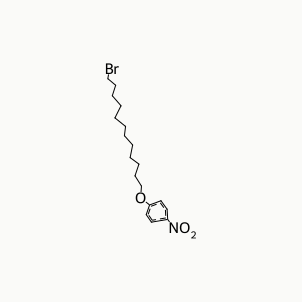 O=[N+]([O-])c1ccc(OCCCCCCCCCCCCBr)cc1